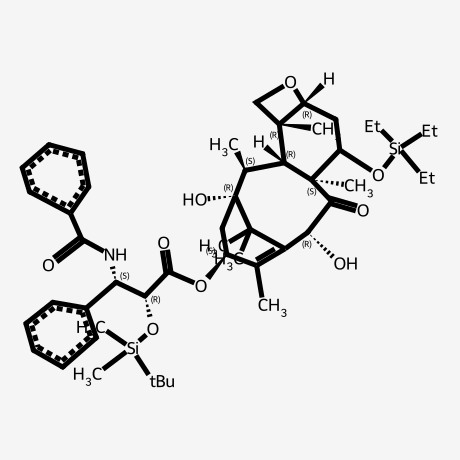 CC[Si](CC)(CC)OC1C[C@H]2OC[C@@]2(C)[C@H]2[C@H](C)[C@]3(O)C[C@H](OC(=O)[C@H](O[Si](C)(C)C(C)(C)C)[C@@H](NC(=O)c4ccccc4)c4ccccc4)C(C)=C([C@@H](O)C(=O)[C@]12C)C3(C)C